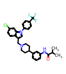 CC(C)C(=O)Nc1cccc(C2CCN(Cc3cn(-c4ccc(C(F)(F)F)cc4)c4cc(Cl)ccc34)CC2)c1